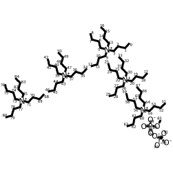 CCCC[N+](CCCC)(CCCC)CCCC.CCCC[N+](CCCC)(CCCC)CCCC.CCCC[N+](CCCC)(CCCC)CCCC.CCCC[N+](CCCC)(CCCC)CCCC.CCCC[N+](CCCC)(CCCC)CCCC.COP(=O)([O-])[O-].O=P([O-])([O-])[O-]